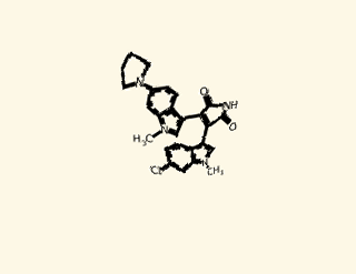 Cn1cc(C2=C(c3cn(C)c4cc(N5CCCC5)ccc34)C(=O)NC2=O)c2ccc(Cl)cc21